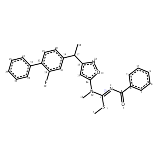 CS/C(=N\C(=O)c1ccccc1)N(C)c1cc(C(C)c2ccc(-c3ccccc3)c(F)c2)no1